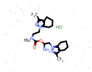 CC(C)(C)N(CCn1nc(C(F)(F)F)c2c1CCCC2)C(=O)OC(N)Cn1nc(C(F)(F)F)c2c1CCCC2.Cl